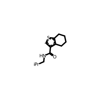 CC(C)CNC(=O)c1[c]sc2c1CCCC2